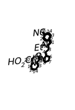 CCn1c(CCC2CCCN2C(=O)C2CCCCN2C(C)C(=O)O)cc2ccc(C#N)cc21